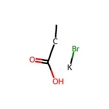 CCC(=O)O.[K][Br]